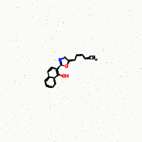 C=C/C=C\C=C1/CN=C(c2ccc3ccccc3c2O)O1